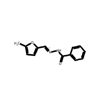 Cc1ccc(/C=N/NC(=O)c2ccccc2)o1